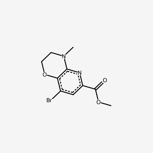 COC(=O)c1cc(Br)c2c(n1)N(C)CCO2